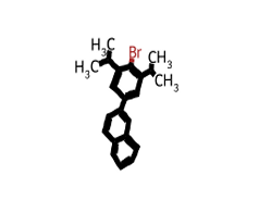 CC(C)c1cc(-c2ccc3ccccc3c2)cc(C(C)C)c1Br